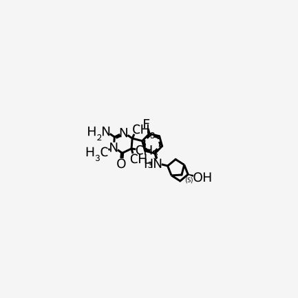 CN1C(=O)C(C)(C)C(C)(c2cc(NC3CC4CC3C[C@@H]4O)ccc2F)N=C1N